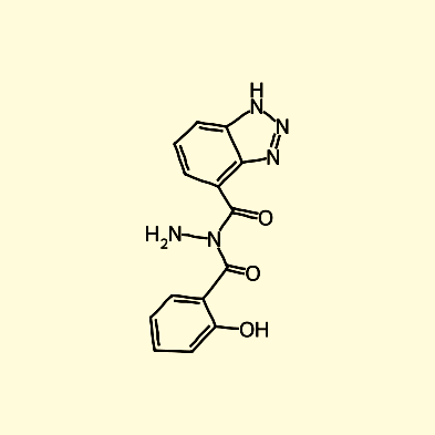 NN(C(=O)c1ccccc1O)C(=O)c1cccc2[nH]nnc12